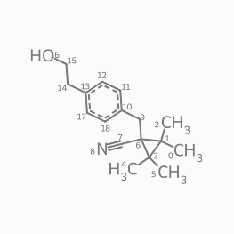 CC1(C)C(C)(C)C1(C#N)Cc1ccc(CCO)cc1